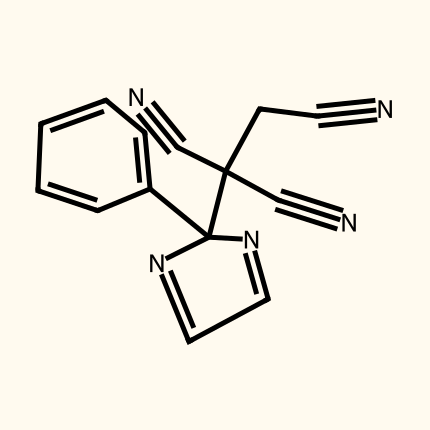 N#CCC(C#N)(C#N)C1(c2ccccc2)N=CC=N1